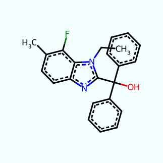 CCn1c(C(O)(c2ccccc2)c2ccccc2)nc2ccc(C)c(F)c21